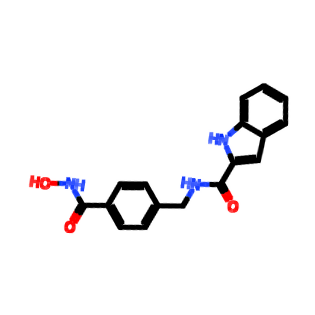 O=C(NO)c1ccc(CNC(=O)c2cc3ccccc3[nH]2)cc1